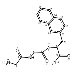 NCC(=O)NCC(=O)N[C@@H](Cc1ccc2ccccc2c1)C(N)=O